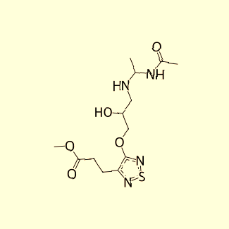 COC(=O)CCc1nsnc1OCC(O)CNC(C)NC(C)=O